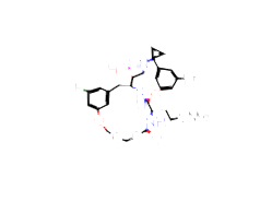 CCc1cccc(C2(NC[C@@H](O)[C@@H]3Cc4cc(F)cc(c4)OCCCCC(=O)N[C@@H](CCSC)C(=O)N3)CC2)c1